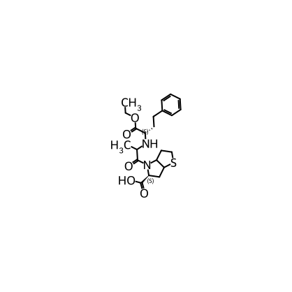 CCOC(=O)[C@H](CCc1ccccc1)NC(C)C(=O)N1C2CCSC2C[C@H]1C(=O)O